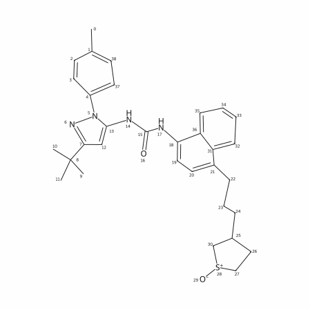 Cc1ccc(-n2nc(C(C)(C)C)cc2NC(=O)Nc2ccc(CCCC3CC[S+]([O-])C3)c3ccccc23)cc1